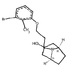 Cc1c(Br)cccc1OCCCN1[C@@H]2CC[C@H]1CC(O)C2